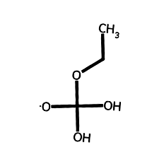 CCOC([O])(O)O